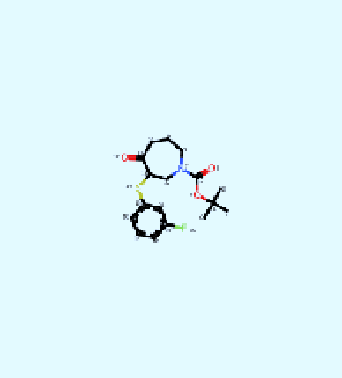 CC(C)(C)OC(=O)N1CCCC(=O)C(Sc2cccc(F)c2)C1